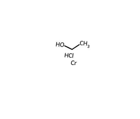 CCO.Cl.[Cr]